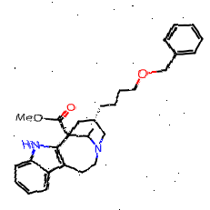 COC(=O)C12C[C@H](CCCCOCc3ccccc3)CN(CCc3c1[nH]c1ccccc31)C2C